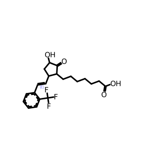 O=C(O)CCCCCCC1C(=O)C(O)CC1/C=C/c1ccccc1C(F)(F)F